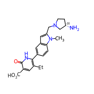 CCc1cc(C(=O)O)c(=O)[nH]c1-c1ccc2c(c1)cc(CN1CC[C@H](N)C1)n2C